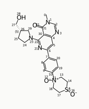 Cn1cnc2cc(-c3ccc([N+]4([O-])CC[S+]([O-])CC4)cc3)nc(N3CC[C@H](CO)C3)c2c1=O